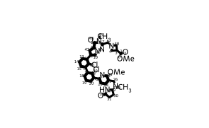 COC(=O)C1CN(Cc2nn3cc(-c4cccc(-c5cccc(-c6ccc(CN(C)[C@H]7CCC(=O)N7)c(OC)n6)c5Cl)c4Cl)cc3c(=O)n2C)C1